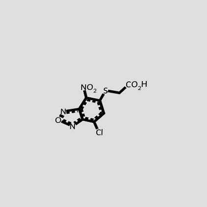 O=C(O)CSc1cc(Cl)c2nonc2c1[N+](=O)[O-]